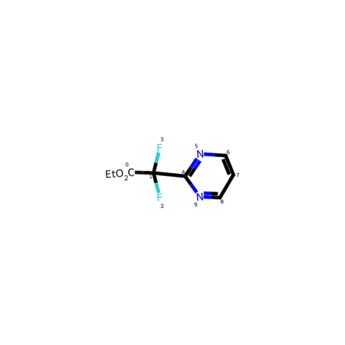 CCOC(=O)C(F)(F)c1ncccn1